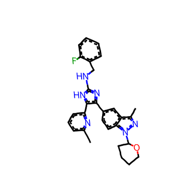 Cc1cccc(-c2[nH]c(NCc3ccccc3F)nc2-c2ccc3c(c2)c(C)nn3C2CCCCO2)n1